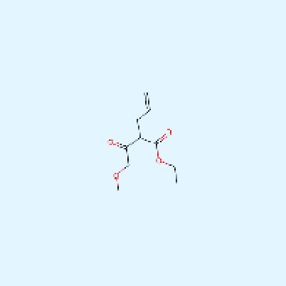 C=CCC(C(=O)COC)C(=O)OCC